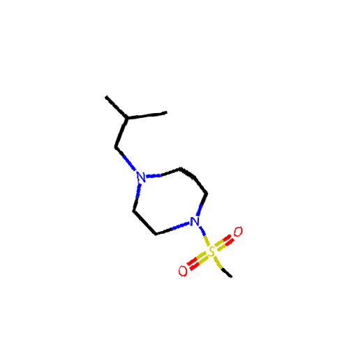 CC(C)CN1CCN(S(C)(=O)=O)CC1